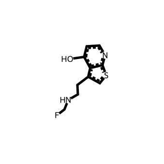 Oc1ccnc2scc(CCNCF)c12